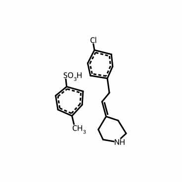 Cc1ccc(S(=O)(=O)O)cc1.Clc1ccc(CC=C2CCNCC2)cc1